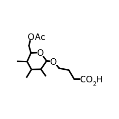 CC(=O)OCC1OC(OCCCC(=O)O)C(C)C(C)C1C